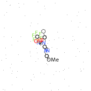 COc1ccc(Cn2ncc3cc(N(Cc4ccc(C5CCCCC5)cc4)C(=O)[C@@H](C)N(C)S(=O)(=O)c4c(F)c(F)c(F)c(F)c4F)ccc32)cc1